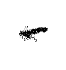 CC(C)Oc1ccc(C(N)=O)cc1Nc1nc(-c2ccc(N3CCN(Cc4ccccc4)CC3)cc2)cs1